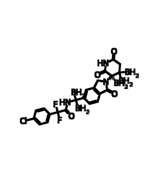 BC(B)(NC(=O)C(F)(F)c1ccc(Cl)cc1)c1ccc2c(c1)CN([C@@]1(B)C(=O)NC(=O)CC1(B)B)C2=O